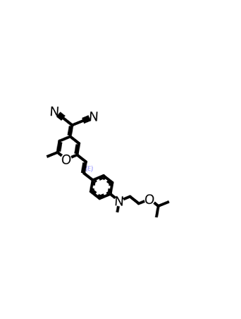 CC1=CC(=C(C#N)C#N)C=C(/C=C/c2ccc(N(C)CCOC(C)C)cc2)O1